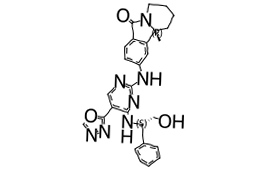 C[C@]12CCCCN1C(=O)c1ccc(Nc3ncc(-c4nnco4)c(N[C@H](CO)c4ccccc4)n3)cc12